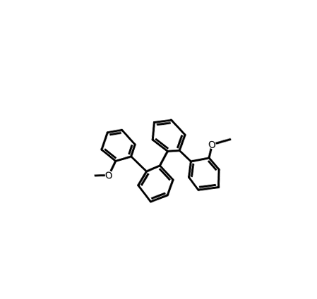 COc1ccccc1-c1ccccc1-c1ccccc1-c1ccccc1OC